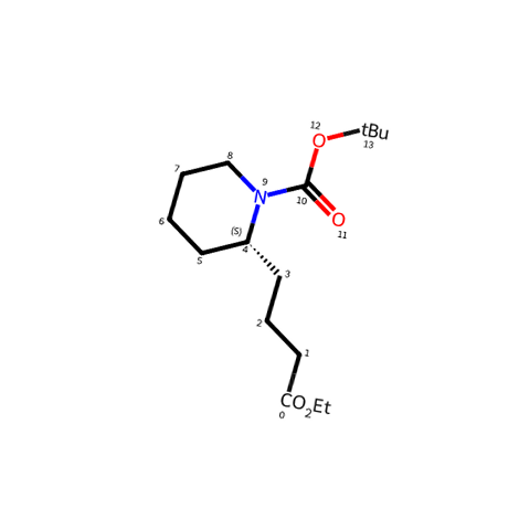 CCOC(=O)CCC[C@@H]1CCCCN1C(=O)OC(C)(C)C